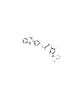 CCSC(SCC)[C@@H]1CCCN1C(=O)c1cc(OC)c(OC(C)=C=C(C)COc2ccc(-n3c(C)nc4ccccc4c3=O)cc2)cc1[N+](=O)[O-]